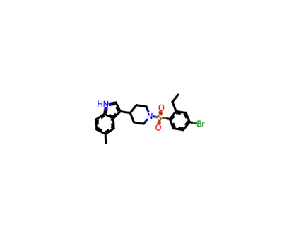 CCc1cc(Br)ccc1S(=O)(=O)N1CCC(c2c[nH]c3ccc(C)cc23)CC1